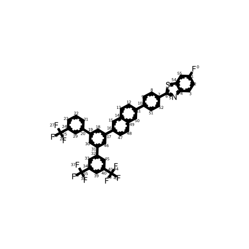 Fc1ccc2nc(-c3ccc(-c4ccc5cc(-c6cc(-c7cccc(C(F)(F)F)c7)cc(-c7cc(C(F)(F)F)cc(C(F)(F)F)c7)c6)ccc5c4)cc3)sc2c1